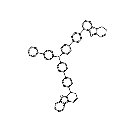 C1=Cc2oc3c(-c4ccc(-c5ccc(N(c6ccc(-c7ccccc7)cc6)c6ccc(-c7ccc(C8CC=Cc9c8oc8ccccc98)cc7)cc6)cc5)cc4)cccc3c2CC1